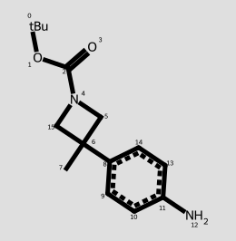 CC(C)(C)OC(=O)N1CC(C)(c2ccc(N)cc2)C1